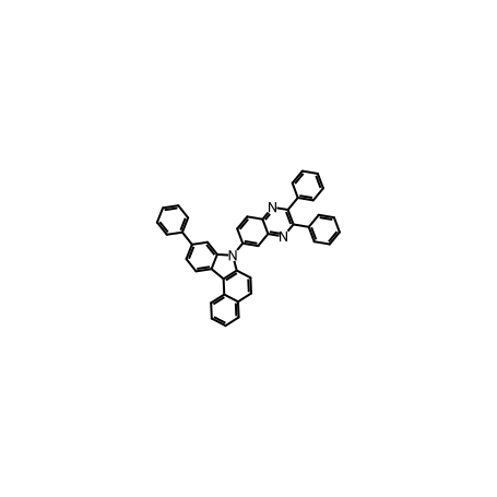 c1ccc(-c2ccc3c4c5ccccc5ccc4n(-c4ccc5nc(-c6ccccc6)c(-c6ccccc6)nc5c4)c3c2)cc1